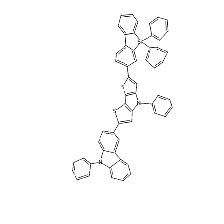 c1ccc(-n2c3ccccc3c3cc(-c4cc5c(s4)c4sc(-c6ccc7c(c6)[Si](c6ccccc6)(c6ccccc6)c6ccccc6-7)cc4n5-c4ccccc4)ccc32)cc1